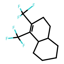 FC(F)(F)C1=C(C(F)(F)F)C2CCCCC2CC1